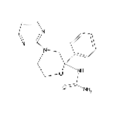 NC(=O)NC1(c2ccccc2)CN(c2ncccn2)CCO1